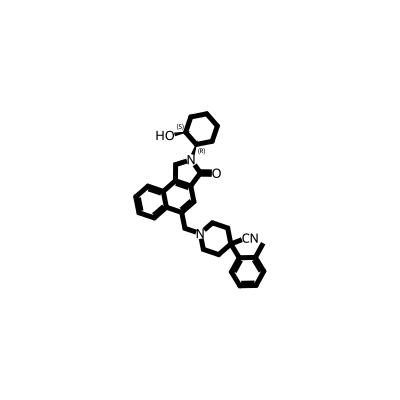 Cc1ccccc1C1(C#N)CCN(Cc2cc3c(c4ccccc24)CN([C@@H]2CCCC[C@@H]2O)C3=O)CC1